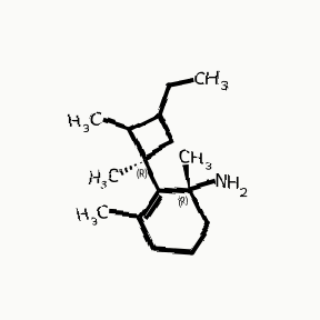 CCC1C[C@@](C)(C2=C(C)CCC[C@@]2(C)N)C1C